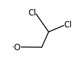 [O]CC(Cl)Cl